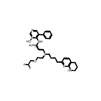 CC(=O)[C@H](CCN(CCCCc1ccc2c(n1)NCCC2)CCOCC(F)F)Nc1c(-c2ccccc2)cnc[n+]1O